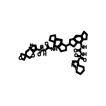 O=C(Nc1c2c(cc3c1CC(C1CCc4c1cc1c(c4NC(=O)NS(=O)(=O)c4cnn5c4OCC4(COC4)C5)CCC1)C3)CCC2)NS(=O)(=O)c1cnn2c1CCCC2